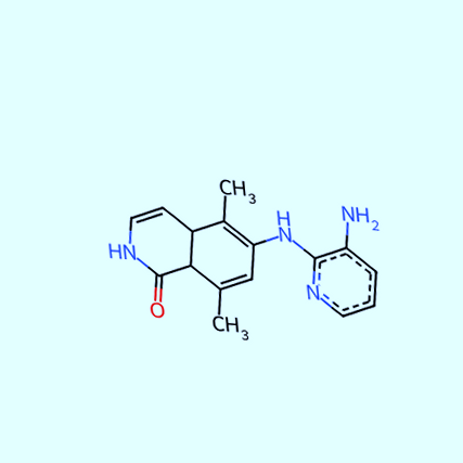 CC1=CC(Nc2ncccc2N)=C(C)C2C=CNC(=O)C12